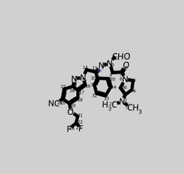 CN(C)C1CCN(C(=O)CN(C=O)/N=C(/Cn2cc3cc(OCC(F)F)c(C#N)cc3n2)c2ccccc2)C1